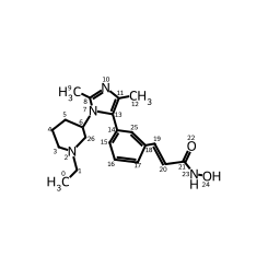 CCN1CCCC(n2c(C)nc(C)c2-c2cccc(/C=C/C(=O)NO)c2)C1